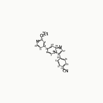 CCOc1cc(-c2ccn3c(-c4ccc(C#N)cc4)cnc3c2)ccn1